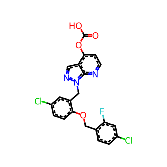 O=C(O)Oc1ccnc2c1cnn2Cc1cc(Cl)ccc1OCc1ccc(Cl)cc1F